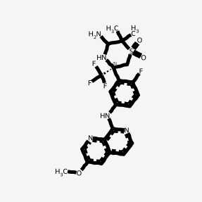 COc1cnc2c(Nc3ccc(F)c([C@]4(C(F)(F)F)CS(=O)(=O)C(C)(C)C(N)N4)c3)nccc2c1